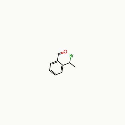 CC(Br)c1ccccc1[C]=O